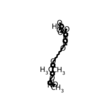 CC(=O)c1nccc(COc2ccc(C(C)(C)c3ccc(OCCCCCCCCOCCN4CCN(c5ccc6c(c5)C(=O)N(C5CCC(=O)NC5=O)C6=O)CC4)cc3)cc2)n1